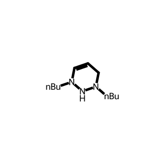 CCCCN1C=CCN(CCCC)N1